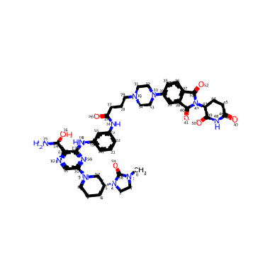 CN1CCN([C@@H]2CCCN(c3cnc(C(N)O)c(Nc4cccc(NC(=O)CCCN5CCN(c6ccc7c(c6)C(=O)N(C6CCC(=O)NC6=O)C7=O)CC5)c4)n3)C2)C1=O